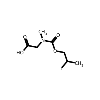 CC(I)COC(=O)N(C)CC(=O)O